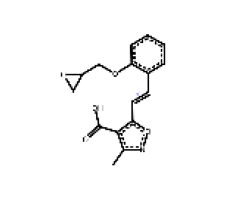 Cc1noc(/C=C/c2ccccc2OCC2CO2)c1C(=O)O